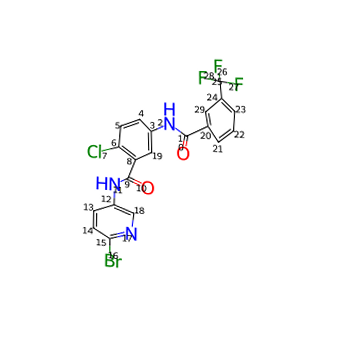 O=C(Nc1ccc(Cl)c(C(=O)Nc2ccc(Br)nc2)c1)c1cccc(C(F)(F)F)c1